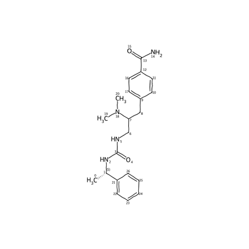 C[C@H](NC(=O)NCC(Cc1ccc(C(N)=O)cc1)N(C)C)c1ccccc1